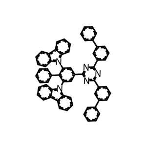 c1ccc(-c2cccc(-c3nc(-c4cccc(-c5ccccc5)c4)nc(-c4cc(-n5c6ccccc6c6ccccc65)c(-c5ccccc5)c(-n5c6ccccc6c6ccccc65)c4)n3)c2)cc1